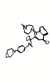 CN1CCN(n2c(C(=O)N(C)c3ccc(N4CCOCC4)cc3)cc(=O)c3ccccc32)CC1